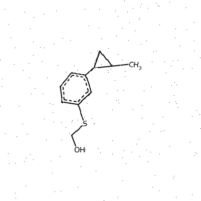 CC1CC1c1cccc(SCO)c1